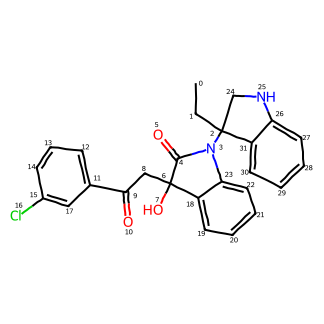 CCC1(N2C(=O)C(O)(CC(=O)c3cccc(Cl)c3)c3ccccc32)CNc2ccccc21